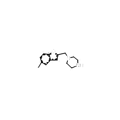 Cc1ccc2oc(CN3CCNCC3)cc2c1